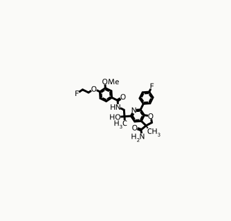 COc1cc(C(=O)NCC(C)(O)c2cc3c(c(-c4ccc(F)cc4)n2)OC[C@]3(C)C(N)=O)ccc1OCCF